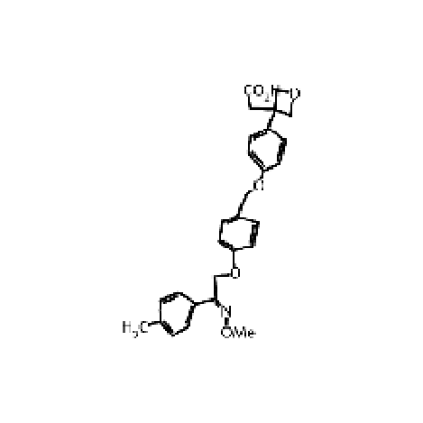 CON=C(COc1ccc(COc2ccc(C3(CC(=O)O)COC3)cc2)cc1)c1ccc(C)cc1